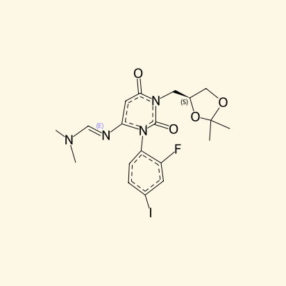 CN(C)/C=N/c1cc(=O)n(C[C@H]2COC(C)(C)O2)c(=O)n1-c1ccc(I)cc1F